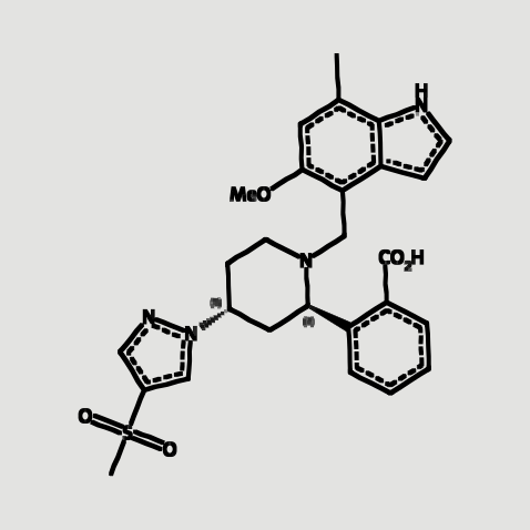 COc1cc(C)c2[nH]ccc2c1CN1CC[C@@H](n2cc(S(C)(=O)=O)cn2)C[C@@H]1c1ccccc1C(=O)O